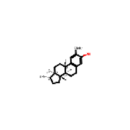 CCC[C@H]1CC[C@H]2[C@@H]3CCc4cc(O)c(OC)cc4[C@H]3CC[C@]12C